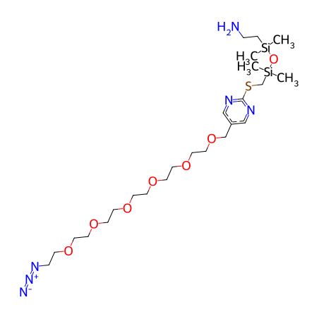 C[Si](C)(CCN)O[Si](C)(C)CSc1ncc(COCCOCCOCCOCCOCCOCCN=[N+]=[N-])cn1